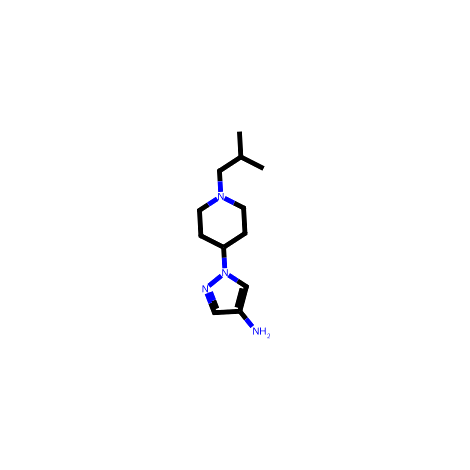 C[C](C)CN1CCC(n2cc(N)cn2)CC1